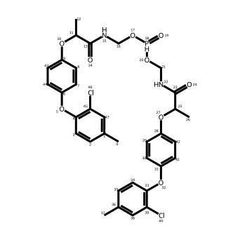 Cc1ccc(Oc2ccc(OC(C)C(=O)NCO[PH](=O)OCNC(=O)C(C)Oc3ccc(Oc4ccc(C)cc4Cl)cc3)cc2)c(Cl)c1